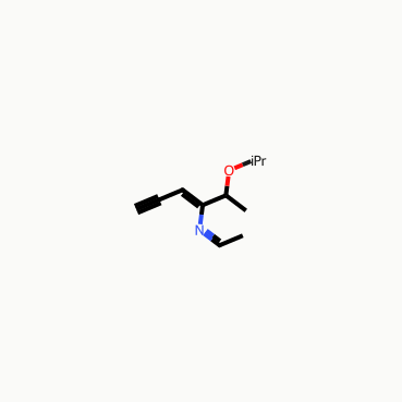 C#C/C=C(\N=C/C)C(C)OC(C)C